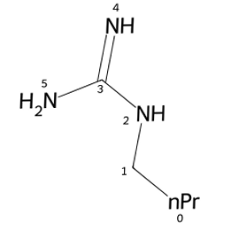 C[CH]CCNC(=N)N